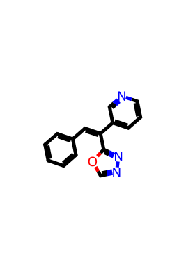 C(=C(c1cccnc1)c1nnco1)c1ccccc1